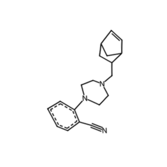 N#Cc1ccccc1N1CCN(CC2CC3C=CC2C3)CC1